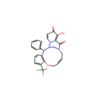 O=C1c2c(O)c(=O)ccn2N2CN1C/C=C\COc1c(cccc1C(F)(F)F)[C@H]2c1ccccc1